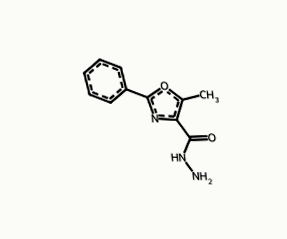 Cc1oc(-c2ccccc2)nc1C(=O)NN